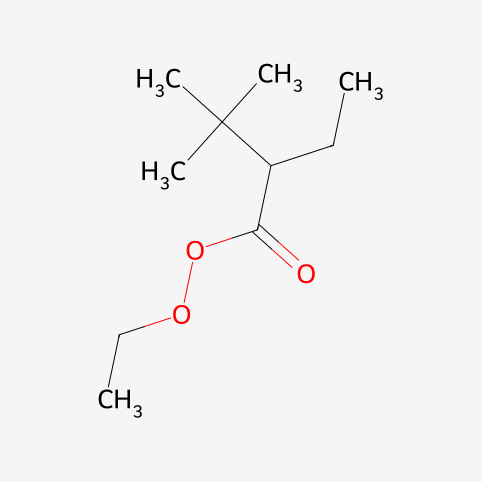 CCOOC(=O)C(CC)C(C)(C)C